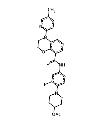 CC(=O)OC1CCN(c2ccc(NC(=O)c3cccc4c3OCCN4c3ccc(C)cn3)cc2F)CC1